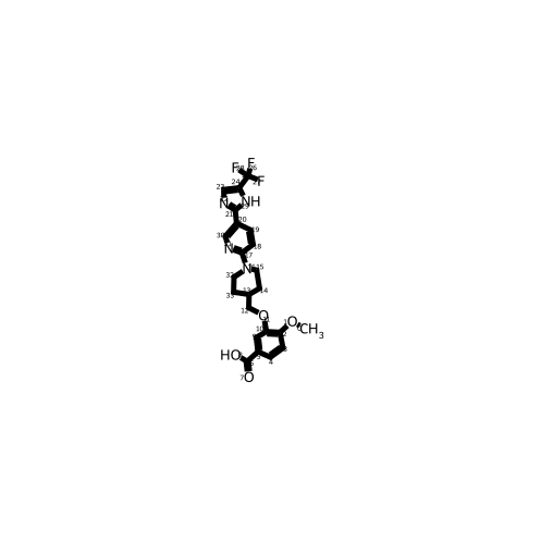 COc1ccc(C(=O)O)cc1OCC1CCN(c2ccc(-c3ncc(C(F)(F)F)[nH]3)cn2)CC1